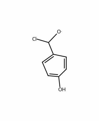 [O]C(Cl)c1ccc(O)cc1